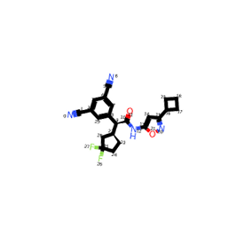 N#Cc1cc(C#N)cc([C@@H](C(=O)Nc2cc(C3CCC3)no2)[C@H]2CCC(F)(F)C2)c1